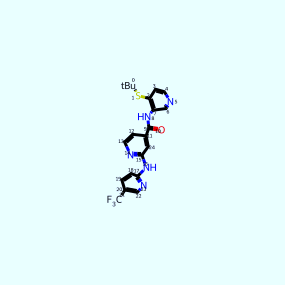 CC(C)(C)Sc1ccncc1NC(=O)c1ccnc(Nc2ccc(C(F)(F)F)cn2)c1